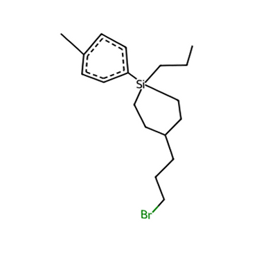 CCC[Si]1(c2ccc(C)cc2)CCC(CCCBr)CC1